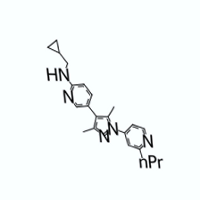 CCCc1cc(-n2nc(C)c(-c3ccc(NCC4CC4)nc3)c2C)ccn1